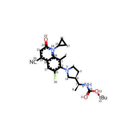 Cc1c(N2CC[C@@H]([C@H](C)NC(=O)OC(C)(C)C)C2)c(F)cc2c(C#N)cc(=O)n(C3CC3)c12